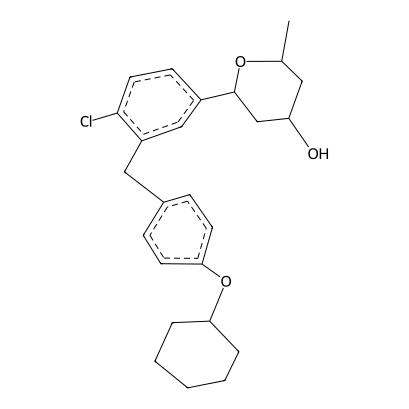 CC1CC(O)CC(c2ccc(Cl)c(Cc3ccc(OC4CCCCC4)cc3)c2)O1